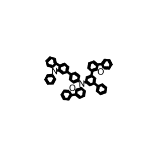 c1ccc(-c2cc(-c3cccc4c3oc3ccccc34)cc(N(c3ccc(-c4ccc5c6ccccc6n(-c6ccccc6)c5c4)cc3)c3cccc4c3oc3ccccc34)c2)cc1